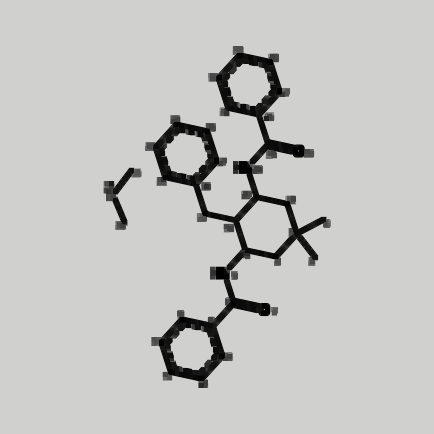 CC1(C)CC(NC(=O)c2ccccc2)C(Cc2ccccc2)C(NC(=O)c2ccccc2)C1.[CH3][Ti][CH3]